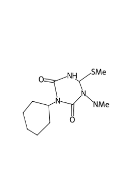 CNN1C(=O)N(C2CCCCC2)C(=O)NC1SC